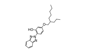 CCCCCC(CCC)COc1ccc(-n2nc3ccccc3n2)c(O)c1